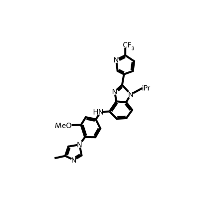 COc1cc(Nc2cccc3c2nc(-c2ccc(C(F)(F)F)nc2)n3C(C)C)ccc1-n1cnc(C)c1